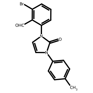 Cc1ccc(-n2ccn(-c3cccc(Br)c3C=O)c2=O)cc1